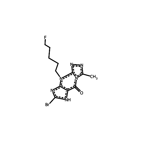 Cc1nnc2n(CCCCCF)c3nc(Br)[nH]c3c(=O)n12